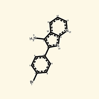 Nc1c(-c2ccc(Br)cc2)sc2ncccc12